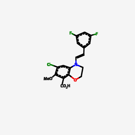 COc1c(Cl)cc2c(c1C(=O)O)OCCN2/C=C/c1cc(F)cc(F)c1